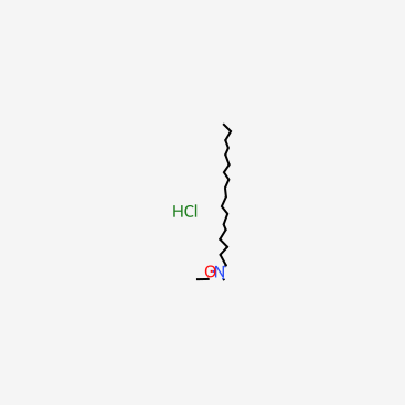 CCCCCCCCCCCCCCCCCCN(C)OCC.Cl